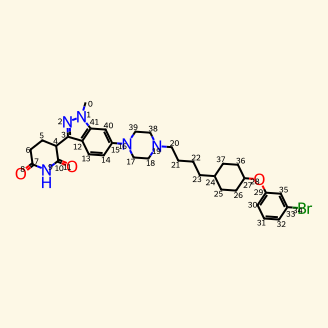 Cn1nc(C2CCC(=O)NC2=O)c2ccc(N3CCN(CCCCC4CCC(Oc5cccc(Br)c5)CC4)CC3)cc21